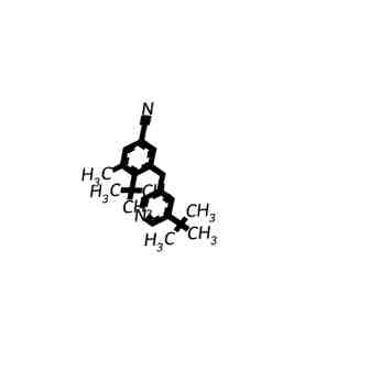 Cc1cc(C#N)cc(Cc2cncc(C(C)(C)C)c2)c1C(C)(C)C